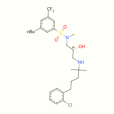 CCCCc1cc(C(F)(F)F)cc(S(=O)(=O)N(C)C[C@H](O)CNC(C)(C)CCCc2ccccc2Cl)c1